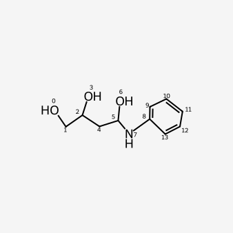 OCC(O)CC(O)Nc1ccccc1